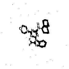 FC(F)c1nc2ccccc2n1-c1nc(N[C@H]2CCc3ccccc32)nc(N2CCOCC2)n1